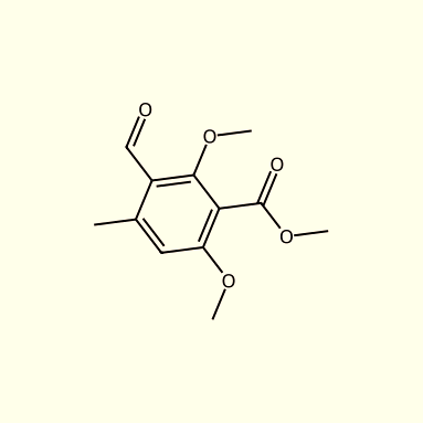 COC(=O)c1c(OC)cc(C)c(C=O)c1OC